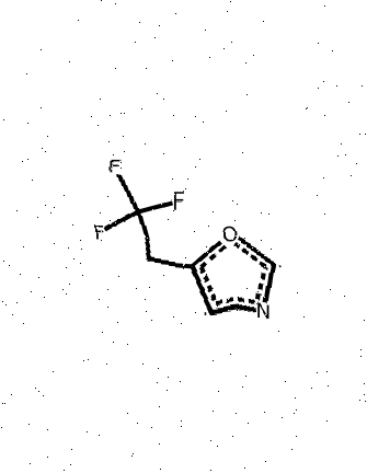 FC(F)(F)Cc1[c]n[c]o1